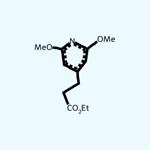 CCOC(=O)CCc1cc(OC)nc(OC)c1